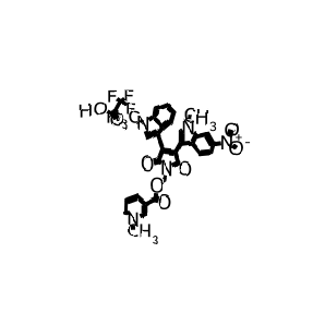 Cn1cc(C2=C(c3cn(C)c4cc([N+](=O)[O-])ccc34)C(=O)N(COC(=O)c3ccc[n+](C)c3)C2=O)c2ccccc21.O=C(O)C(F)(F)F